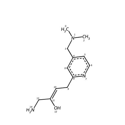 CN(C)Cc1ccnc(CC=C(O)CN)c1